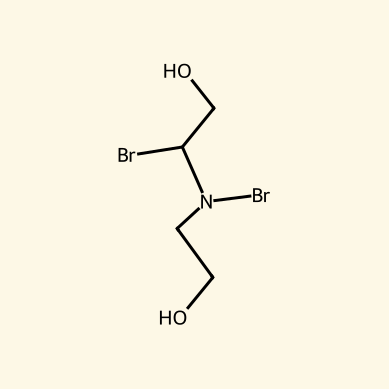 OCCN(Br)C(Br)CO